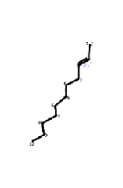 [CH]/C=C/CCCCCCCC